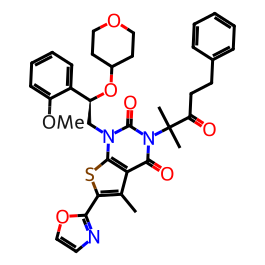 COc1ccccc1[C@H](Cn1c(=O)n(C(C)(C)C(=O)CCc2ccccc2)c(=O)c2c(C)c(-c3ncco3)sc21)OC1CCOCC1